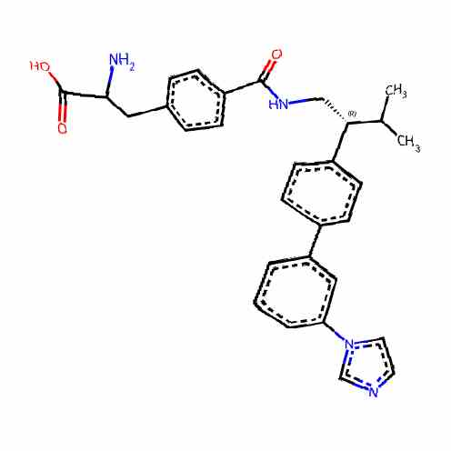 CC(C)[C@@H](CNC(=O)c1ccc(CC(N)C(=O)O)cc1)c1ccc(-c2cccc(-n3ccnc3)c2)cc1